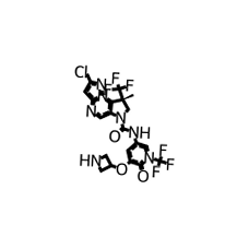 C[C@@]1(C(F)(F)F)CN(C(=O)Nc2cc(OC3CNC3)c(=O)n(C(F)(F)F)c2)c2cnc3cc(Cl)nn3c21